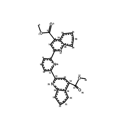 COC(=O)c1cc(-c2cccc(-c3cc(C(=O)OC)c4ccccc4n3)n2)nc2ccccc12